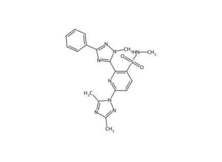 CNS(=O)(=O)c1ccc(-n2nc(C)nc2C)nc1-c1nc(-c2ccccc2)nn1C